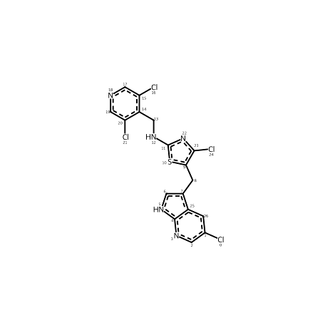 Clc1cnc2[nH]cc(Cc3sc(NCc4c(Cl)cncc4Cl)nc3Cl)c2c1